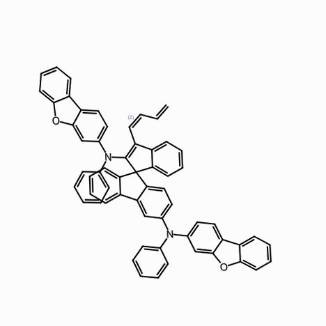 C=C/C=C\C1=C(N(c2ccccc2)c2ccc3c(c2)oc2ccccc23)C2(c3ccccc31)c1ccccc1-c1cc(N(c3ccccc3)c3ccc4c(c3)oc3ccccc34)ccc12